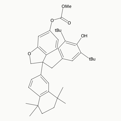 COC(=O)Oc1ccc2c(c1)OCC2(Cc1cc(C(C)(C)C)c(O)c(C(C)(C)C)c1)c1ccc2c(c1)C(C)(C)CCC2(C)C